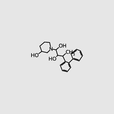 CC(c1ccccc1-c1ccccc1)C(O)C(O)N1CCCC(O)C1